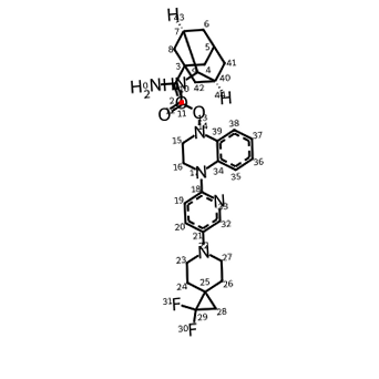 NC(=O)C12CC3C[C@H](C1)C(NC(=O)ON1CCN(c4ccc(N5CCC6(CC5)CC6(F)F)cn4)c4ccccc41)[C@@H](C3)C2